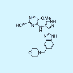 C#Cc1ncc(OC)c(Nc2c[nH]nc2-c2nc3cc(CN4CCOCC4)ccc3[nH]2)n1